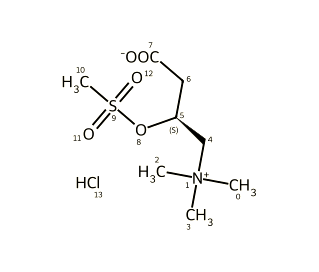 C[N+](C)(C)C[C@H](CC(=O)[O-])OS(C)(=O)=O.Cl